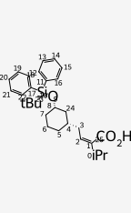 CC(C)C(=CC[C@@H]1CCC[C@H](O[Si](c2ccccc2)(c2ccccc2)C(C)(C)C)C1)C(=O)O